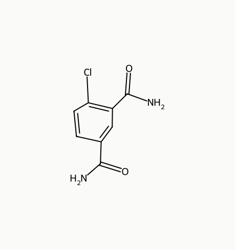 NC(=O)c1ccc(Cl)c(C(N)=O)c1